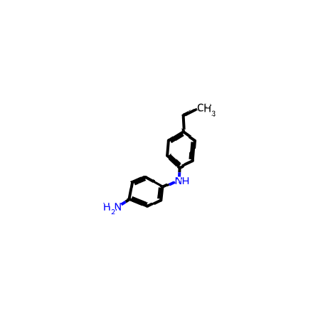 CCc1ccc(Nc2ccc(N)cc2)cc1